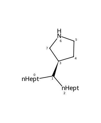 CCCCCCCC(CCCCCCC)[C@@H]1CCNC1